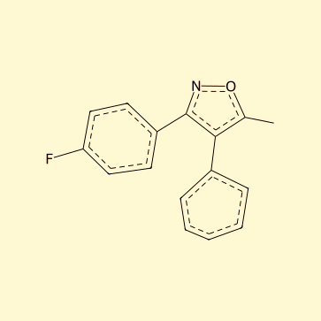 Cc1onc(-c2ccc(F)cc2)c1-c1ccccc1